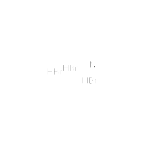 Br.Br.Br.[N]